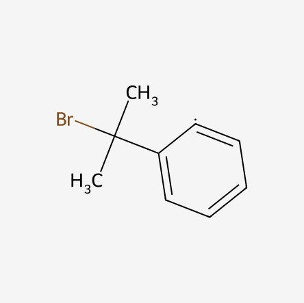 CC(C)(Br)c1[c]cccc1